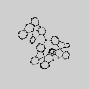 c1ccc2c(c1)Oc1ccccc1C21c2ccccc2-c2c(N(c3ccc4c(c3)C3(c5ccccc5Sc5ccccc53)c3ccccc3-4)c3ccc4c(c3)C3(c5ccccc5Sc5ccccc53)c3ccccc3-4)cccc21